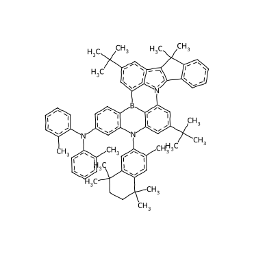 Cc1ccccc1N(c1ccc2c(c1)N(c1cc3c(cc1C)C(C)(C)CCC3(C)C)c1cc(C(C)(C)C)cc3c1B2c1cc(C(C)(C)C)cc2c4c(n-3c12)-c1ccccc1C4(C)C)c1ccccc1C